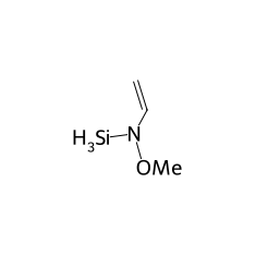 C=CN([SiH3])OC